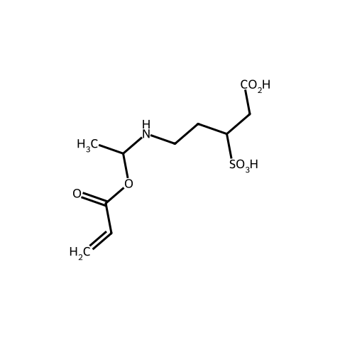 C=CC(=O)OC(C)NCCC(CC(=O)O)S(=O)(=O)O